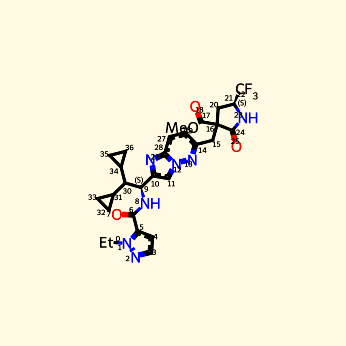 CCn1nccc1C(=O)N[C@H](c1cn2nc(CC3(C(=O)OC)C[C@@H](C(F)(F)F)NC3=O)ccc2n1)C(C1CC1)C1CC1